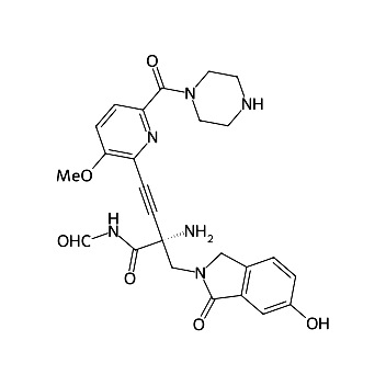 COc1ccc(C(=O)N2CCNCC2)nc1C#C[C@@](N)(CN1Cc2ccc(O)cc2C1=O)C(=O)NC=O